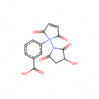 O=C(O)c1cccc([N+]2(N3C(=O)CC(O)C3=O)C(=O)C=CC2=O)c1